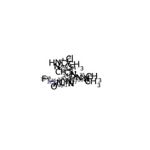 Cc1c(Cl)cc2[nH]ncc2c1-c1c(Cl)cc2c(nc(N3CC(N(C)C)C3)c3cnn(C4CCN(C(=O)/C=C/CF)CC4)c32)c1F